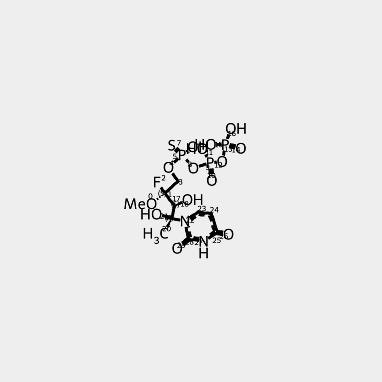 CO[C@](F)(COP(O)(=S)OP(=O)(O)OP(=O)(O)O)[C@@H](O)[C@@](C)(O)n1ccc(=O)[nH]c1=O